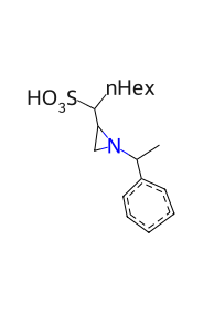 CCCCCCC(C1CN1C(C)c1ccccc1)S(=O)(=O)O